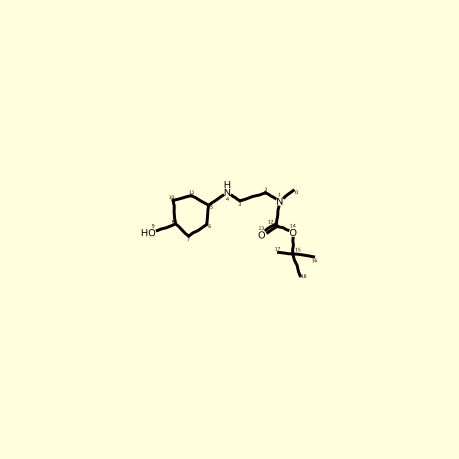 CN(CCNC1CCC(O)CC1)C(=O)OC(C)(C)C